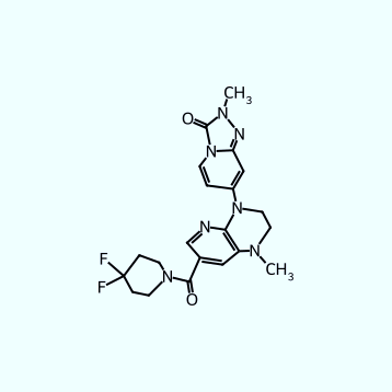 CN1CCN(c2ccn3c(=O)n(C)nc3c2)c2ncc(C(=O)N3CCC(F)(F)CC3)cc21